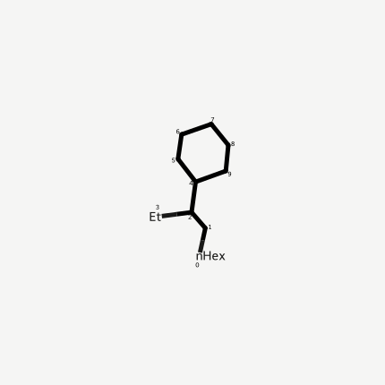 CCCCCCCC(CC)C1CCCCC1